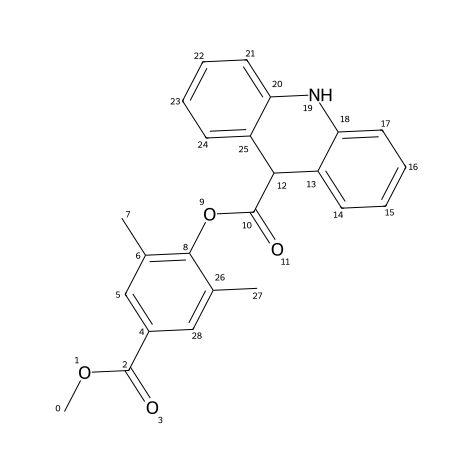 COC(=O)c1cc(C)c(OC(=O)C2c3ccccc3Nc3ccccc32)c(C)c1